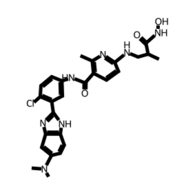 Cc1nc(NCC(C)C(=O)NO)ccc1C(=O)Nc1ccc(Cl)c(-c2nc3cc(N(C)C)ccc3[nH]2)c1